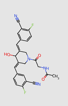 CC(=O)NCC(=O)N1C/C(=C\c2ccc(F)c(C#N)c2)C(O)/C(=C/c2ccc(F)c(C#N)c2)C1